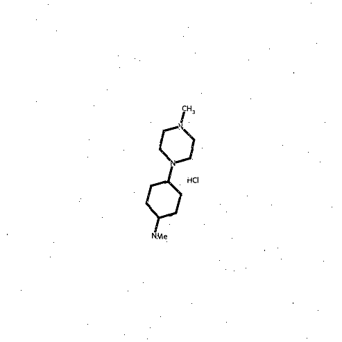 CNC1CCC(N2CCN(C)CC2)CC1.Cl